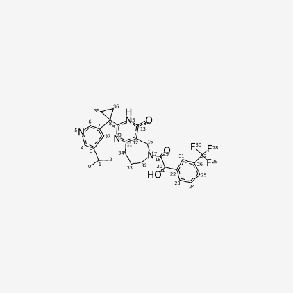 CC(C)c1cncc(C2(c3nc4c(c(=O)[nH]3)CN(C(=O)C(O)c3cccc(C(F)(F)F)c3)CCC4)CC2)c1